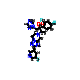 CC(N1CCn2nc(-c3cncc(F)c3)nc2C1)[C@](O)(Cn1cncn1)c1ccc(F)cc1F